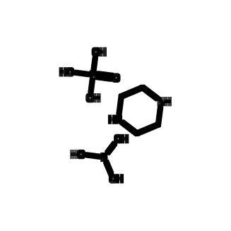 C1CNCCN1.O=P(O)(O)O.OB(O)O